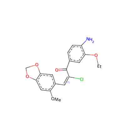 CCOc1cc(C(=O)/C(Cl)=C\c2cc3c(cc2OC)OCO3)ccc1N